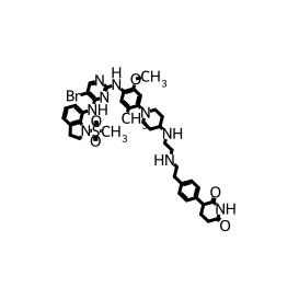 COc1cc(N2CCC(NCCNCCc3ccc(C4CCC(=O)NC4=O)cc3)CC2)c(C)cc1Nc1ncc(Br)c(Nc2cccc3c2N(S(C)(=O)=O)CC3)n1